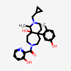 Cc1ccc(O)cc1C12CCN(C(=O)c3ncccc3O)CCC1(O)C(C)N(CC1CC1)CC2